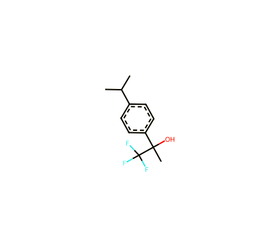 CC(C)c1ccc(C(C)(O)C(F)(F)F)cc1